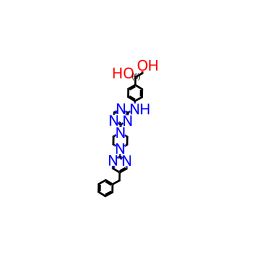 OC[C@@H](O)c1ccc(Nc2ncnc(N3CCN(c4ncc(Cc5ccccc5)cn4)CC3)n2)cc1